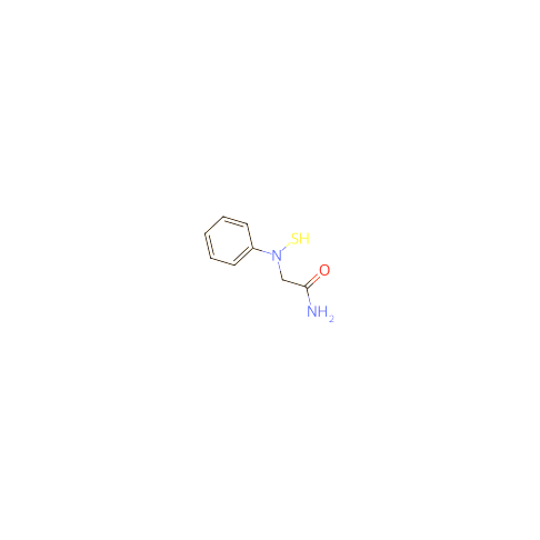 NC(=O)CN(S)c1ccccc1